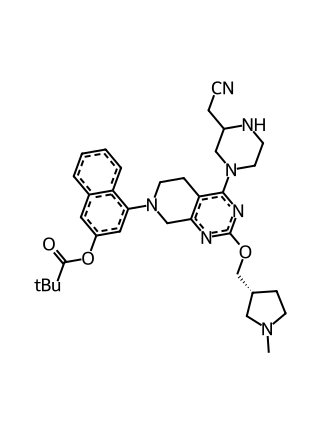 CN1CC[C@@H](COc2nc3c(c(N4CCNC(CC#N)C4)n2)CCN(c2cc(OC(=O)C(C)(C)C)cc4ccccc24)C3)C1